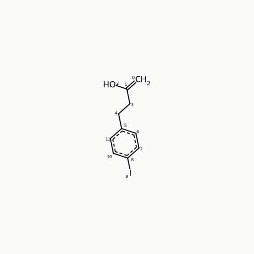 C=C(O)CCc1ccc(I)cc1